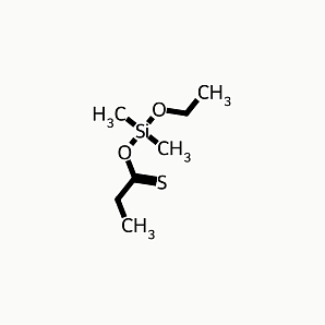 CCO[Si](C)(C)OC(=S)CC